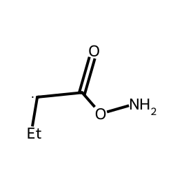 CC[CH]C(=O)ON